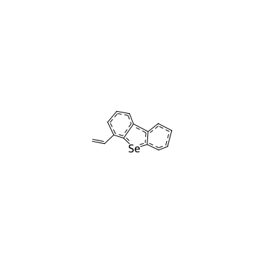 C=Cc1cccc2c1[se]c1ccccc12